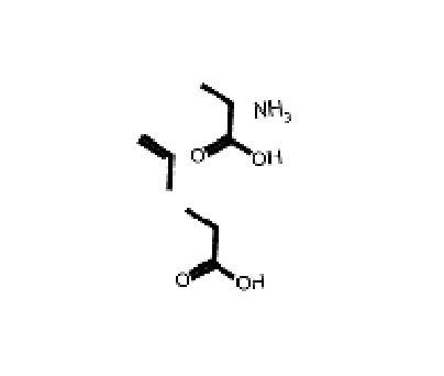 C=CC.CCC(=O)O.CCC(=O)O.N